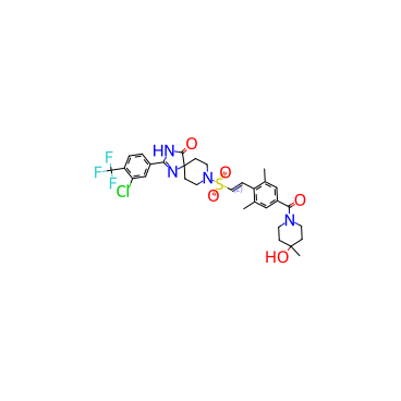 Cc1cc(C(=O)N2CCC(C)(O)CC2)cc(C)c1/C=C/S(=O)(=O)N1CCC2(CC1)N=C(c1ccc(C(F)(F)F)c(Cl)c1)NC2=O